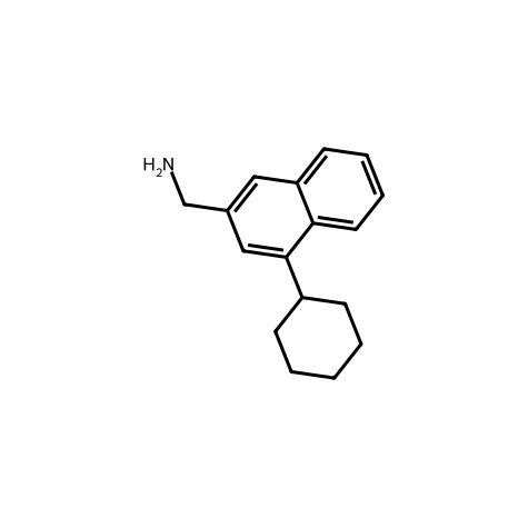 NCc1cc(C2CCCCC2)c2ccccc2c1